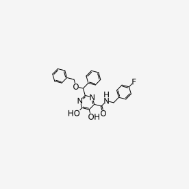 O=C(NCc1ccc(F)cc1)c1nc(C(OCc2ccccc2)c2ccccc2)nc(O)c1O